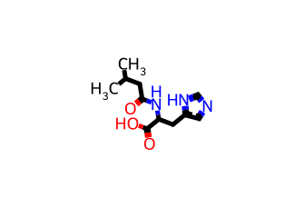 CC(C)CC(=O)NC(Cc1cnc[nH]1)C(=O)O